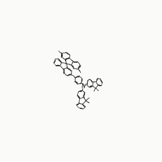 Cc1ccc2c(c1)C1(c3ccccc3-c3ccc(-c4ccc(N(c5ccc6c(c5)C(C)(C)c5ccccc5-6)c5ccc6c(c5)C(C)(C)c5ccccc5-6)cc4)cc31)c1cc(C)ccc1-2